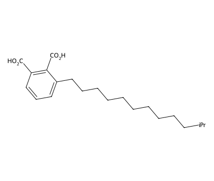 CC(C)CCCCCCCCCCc1cccc(C(=O)O)c1C(=O)O